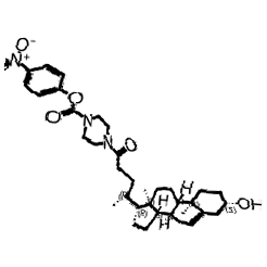 C[C@H](CCC(=O)N1CCN(C(=O)Oc2ccc([N+](=O)[O-])cc2)CC1)[C@H]1CC[C@H]2[C@@H]3CC=C4C[C@@H](O)CC[C@]4(C)[C@H]3CC[C@]12C